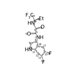 CC[C@@H](NC(=O)C(=O)Nc1c[nH]c2cc(F)c(F)cc12)C(F)(F)F